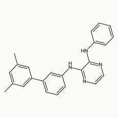 Cc1cc(C)cc(-c2cccc(Nc3nccnc3Nc3ccccc3)c2)c1